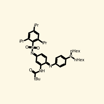 CCCCCCN(CCCCCC)c1ccc(N=C2C=CC(=NS(=O)(=O)c3c(C(C)C)cc(C(C)C)cc3C(C)C)C=C2NC(=O)C(C)(C)C)cc1